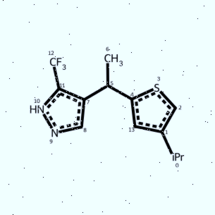 CC(C)c1csc(C(C)c2cn[nH]c2C(F)(F)F)c1